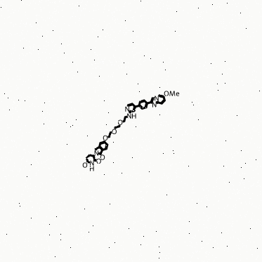 COc1ccc2nc(-c3ccc(-c4ccnc(NCCOCCOCCOc5ccc6c(c5)CN(C5CCC(=O)NC5=O)C6=O)c4)cc3)cn2c1